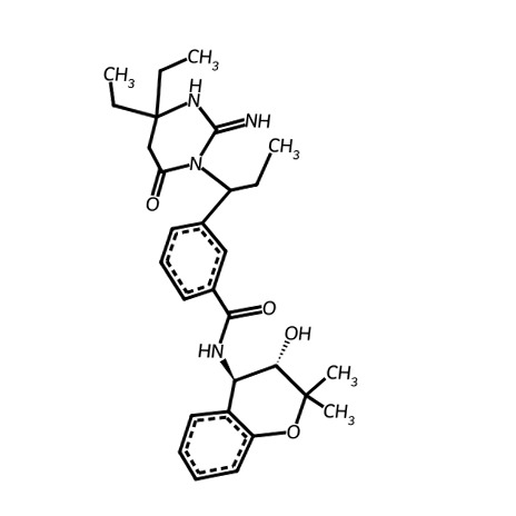 CCC(c1cccc(C(=O)N[C@@H]2c3ccccc3OC(C)(C)[C@H]2O)c1)N1C(=N)NC(CC)(CC)CC1=O